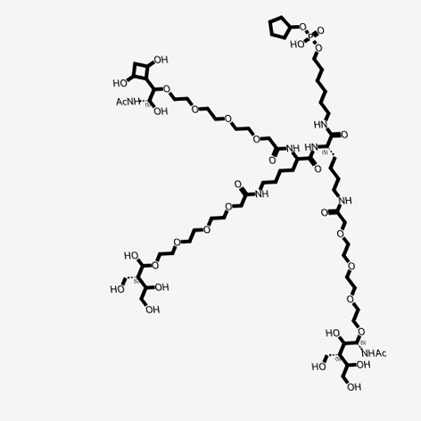 CC(=O)N[C@@H](O)C(OCCOCCOCCOCC(=O)NC(CCCCNC(=O)COCCOCCOCCOC(O)[C@@H](CO)C(O)CO)C(=O)N[C@@H](CCCCNC(=O)COCCOCCOCCO[C@H](NC(C)=O)C(O)[C@@H](CO)C(O)CO)C(=O)NCCCCCCOP(=O)(O)OC1CCCC1)C1C(O)CC1O